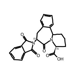 O=C(O)[C@@H]1CCCC2c3ccccc3C[C@H](N3C(=O)c4ccccc4C3=O)C(=O)N21